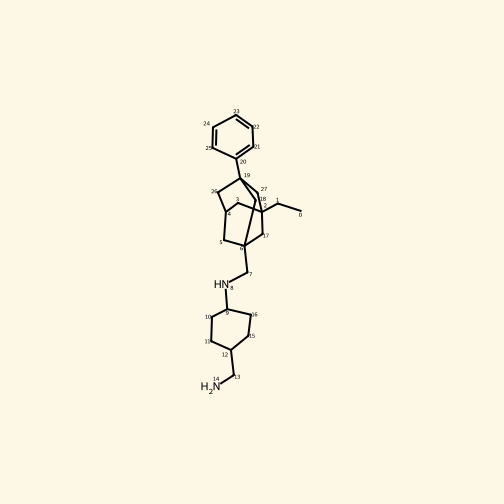 CCC12CC3CC(CNC4CCC(CN)CC4)(C1)CC(c1ccccc1)(C3)C2